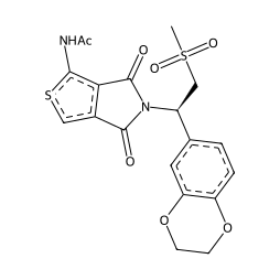 CC(=O)Nc1scc2c1C(=O)N([C@@H](CS(C)(=O)=O)c1ccc3c(c1)OCCO3)C2=O